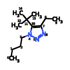 CCCCn1nnc(CC)c1C(C)(C)C